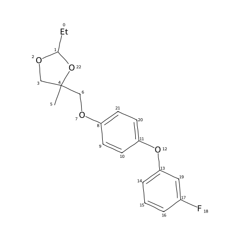 CCC1OCC(C)(COc2ccc(Oc3cccc(F)c3)cc2)O1